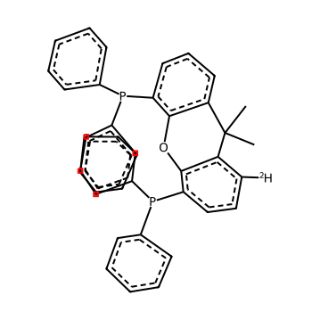 [2H]c1ccc(P(c2ccccc2)c2ccccc2)c2c1C(C)(C)c1cccc(P(c3ccccc3)c3ccccc3)c1O2